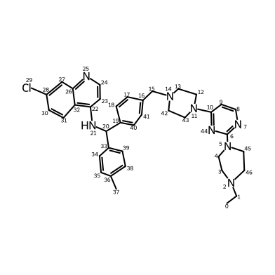 CCN1CCN(c2nccc(N3CCN(Cc4ccc(C(Nc5ccnc6cc(Cl)ccc56)c5ccc(C)cc5)cc4)CC3)n2)CC1